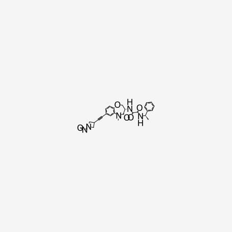 C[C@@H](NC(=O)C(=O)N[C@H]1COc2ccc(C#CC3CN(N=O)C3)cc2N(C)C1=O)c1ccccc1